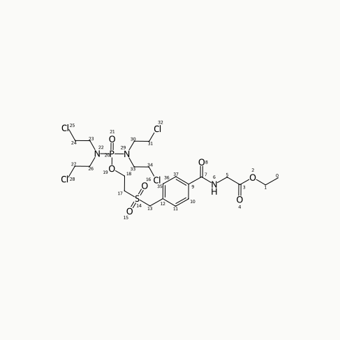 CCOC(=O)CNC(=O)c1ccc(CS(=O)(=O)CCOP(=O)(N(CCCl)CCCl)N(CCCl)CCCl)cc1